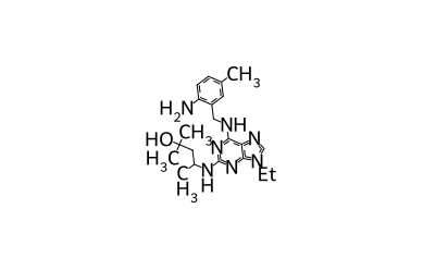 CCn1cnc2c(NCc3cc(C)ccc3N)nc(NC(C)CC(C)(C)O)nc21